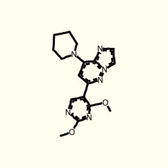 COc1ncc(-c2cc(N3CCCCC3)c3nccn3n2)c(OC)n1